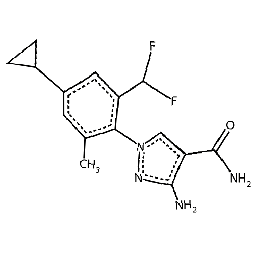 Cc1cc(C2CC2)cc(C(F)F)c1-n1cc(C(N)=O)c(N)n1